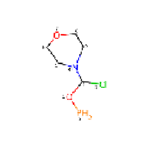 POC(Cl)N1CCOCC1